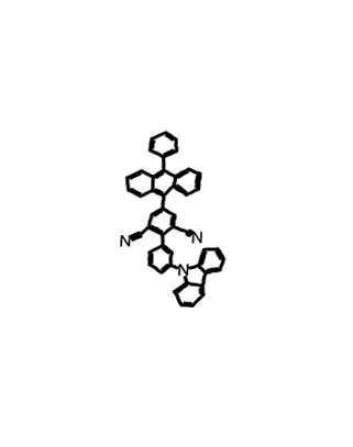 N#Cc1cc(-c2c3ccccc3c(-c3ccccc3)c3ccccc23)cc(C#N)c1-c1cccc(-n2c3ccccc3c3ccccc32)c1